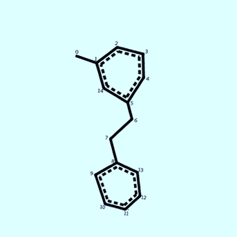 Cc1cccc(CCc2cc[c]cc2)c1